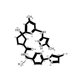 Cc1cc(Nc2cc(C)[nH]n2)nc(C2(O)CCC(C(=O)N[C@@H](C)c3ccc(-n4cc(F)cn4)nc3)C2)c1